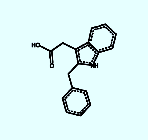 O=C(O)Cc1c(Cc2ccccc2)[nH]c2ccccc12